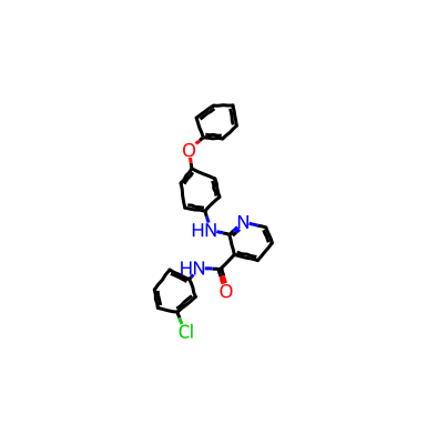 O=C(Nc1cccc(Cl)c1)c1cccnc1Nc1ccc(Oc2ccccc2)cc1